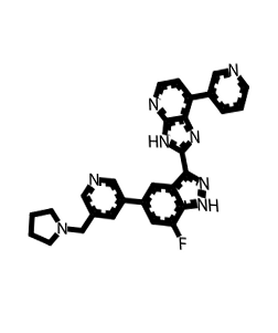 Fc1cc(-c2cncc(CN3CCCC3)c2)cc2c(-c3nc4c(-c5cccnc5)ccnc4[nH]3)n[nH]c12